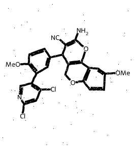 COc1ccc2c(c1)C1=C(CO2)C(c2ccc(OC)c(-c3cnc(Cl)cc3Cl)c2)C(C#N)=C(N)O1